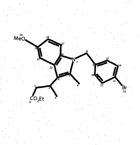 CCOC(=O)CC(C)c1c(C)n(Cc2ccc(Br)cc2)c2ccc(OC)cc12